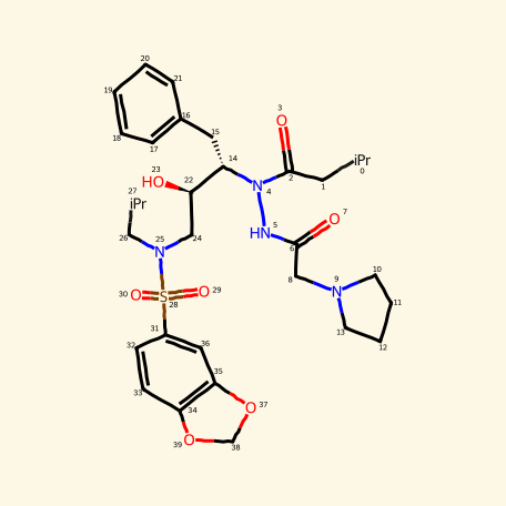 CC(C)CC(=O)N(NC(=O)CN1CCCC1)[C@@H](Cc1ccccc1)[C@H](O)CN(CC(C)C)S(=O)(=O)c1ccc2c(c1)OCO2